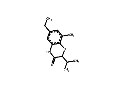 CCc1cc(C)c2c(c1)NC(=O)C(C(C)C)O2